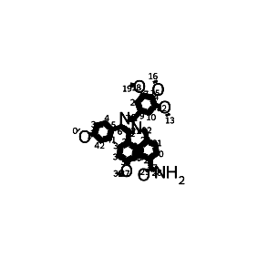 COc1ccc(-c2nc(-c3cc(OC)c(OC)c(OC)c3)n(Cc3ccc(C(N)=O)cc3)c2-c2ccc(OC)cc2)cc1